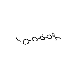 C=CCCC1CCC(C2CCC(c3ccc(C4CCC(NC(=O)C=C)CC4)c(F)c3)CC2)CC1